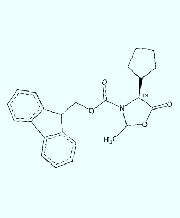 CC1OC(=O)[C@H](C2CCCC2)N1C(=O)OCC1c2ccccc2-c2ccccc21